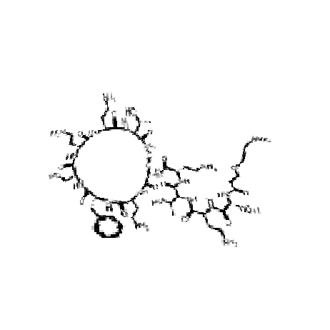 CCCCCCCC[C@H](NC(=O)CCOCCNC(C)=O)C(=O)N[C@@H](CCN)C(=O)N[C@H](C(=O)N[C@@H](CCN)C(=O)N[C@H]1CCNC(=O)[C@H]([C@@H](C)O)NC(=O)[C@H](CCN)NC(=O)[C@H](CCN)NC(=O)[C@H](CC(C)C)NC(=O)[C@@H](Cc2ccccc2)NC(=O)[C@H](CCN)NC1=O)[C@@H](C)O